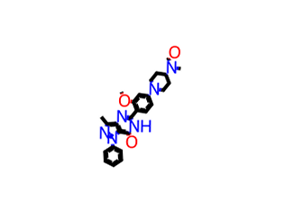 COc1cc(N2CCC(N(C)C=O)CC2)ccc1-c1nc2c(C)nn(-c3ccccc3)c2c(=O)[nH]1